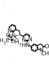 CN1C(=O)Cc2cc(Nc3nccc(CCc4cccnc4N(C)S(C)(=O)=O)n3)ccc21